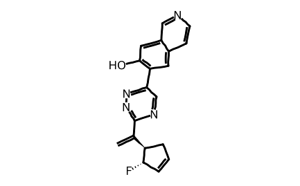 C=C(c1ncc(-c2cc3ccncc3cc2O)nn1)[C@H]1CC=C[C@@H]1F